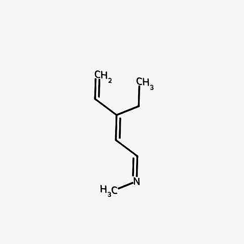 C=C/C(=C/C=N\C)CC